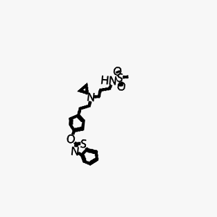 CS(=O)(=O)NCCCN(CCc1ccc(Oc2nc3ccccc3s2)cc1)C1CC1